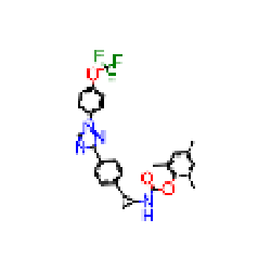 Cc1cc(C)c(OC(=O)NC2CC2c2ccc(-c3ncn(-c4ccc(OC(F)(F)F)cc4)n3)cc2)c(C)c1